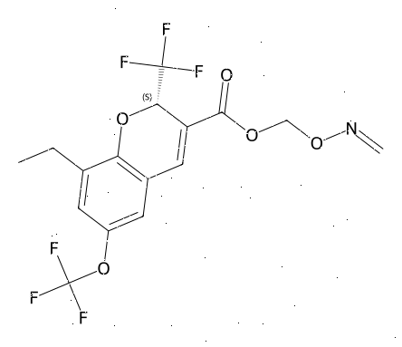 C=NOCOC(=O)C1=Cc2cc(OC(F)(F)F)cc(CC)c2O[C@@H]1C(F)(F)F